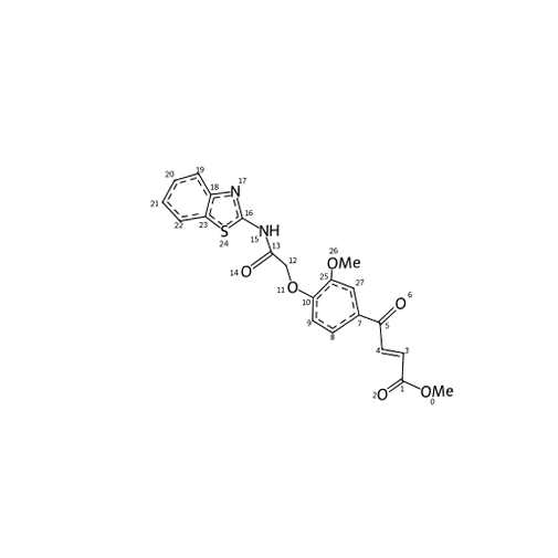 COC(=O)C=CC(=O)c1ccc(OCC(=O)Nc2nc3ccccc3s2)c(OC)c1